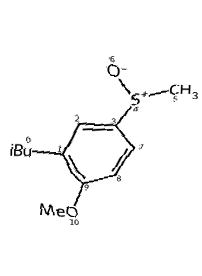 CCC(C)c1cc([S+](C)[O-])ccc1OC